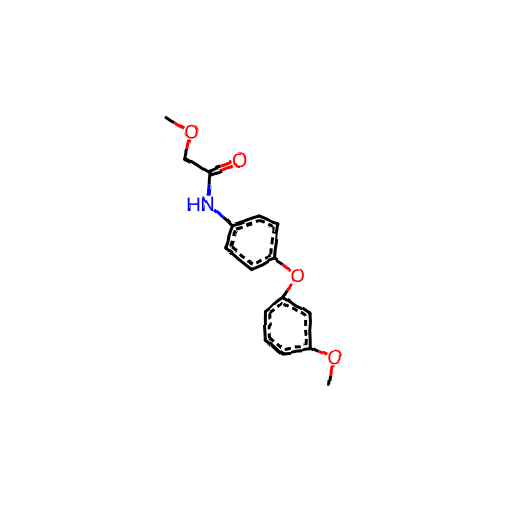 COCC(=O)Nc1ccc(Oc2cccc(OC)c2)cc1